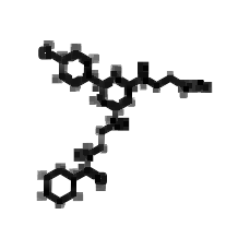 CC(=O)NCCNc1cc(NCCNC(=O)C2CC=CCC2)nc(-c2ccc(Cl)cc2)n1